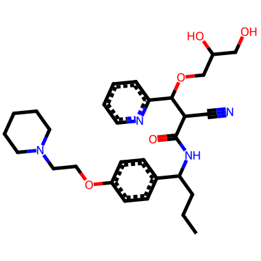 CCCC(NC(=O)C(C#N)C(OCC(O)CO)c1ccccn1)c1ccc(OCCN2CCCCC2)cc1